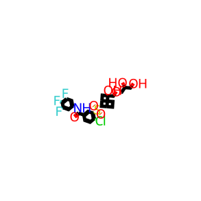 O=C(Nc1cc(F)c(F)c(F)c1)c1ccc(Cl)c(S(=O)(=O)[C@H]2C3CCC34C2C[C@]4(O)COCC(O)CO)c1